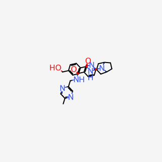 Cc1cnc(CNC(=O)c2ccc(N3C4CCC3CC(NC(=O)c3ccc(CO)cc3)C4)nc2)cn1